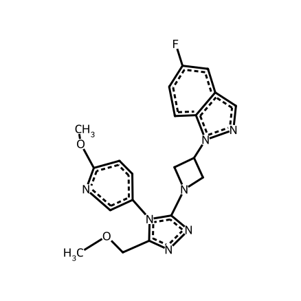 COCc1nnc(N2CC(n3ncc4cc(F)ccc43)C2)n1-c1ccc(OC)nc1